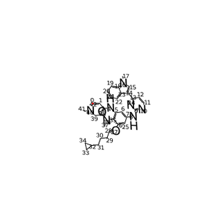 C=CC(=O)Nc1cc(Nc2nccc(-c3cn(C)c4ccccc34)n2)cc(OCCCCC2CC2)c1N(C)CCN(C)C